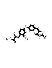 COC(=O)C(N)Cc1ccc(Oc2ccc(C=C3SC(=O)NC3=O)cc2)cc1N